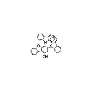 N#Cc1cc(-n2c3ccccc3c3ccccc32)c(-n2c3ccccc3c3ccccc32)c2oc3ccccc3c12